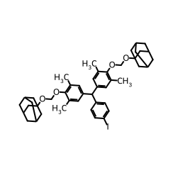 Cc1cc(C(c2ccc(I)cc2)c2cc(C)c(OCOC34CC5CC(CC(C5)C3)C4)c(C)c2)cc(C)c1OCOC12CC3CC(CC(C3)C1)C2